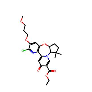 CCOC(=O)c1cn2c(cc1=O)-c1nc(Cl)c(OCCCOC)cc1OC1CCC(C)(C)C12